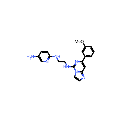 COc1cccc(-c2cc3nccn3c(NCCNc3ccc(N)cn3)n2)c1